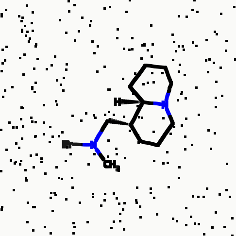 CC(C)N(C)C[C@H]1CCCN2CCCC[C@H]12